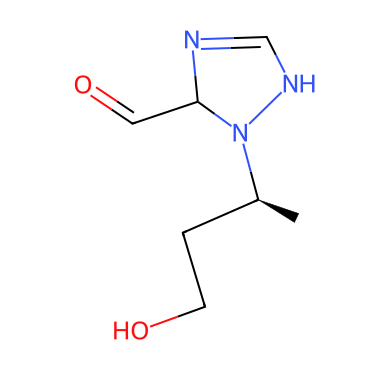 C[C@@H](CCO)N1NC=NC1C=O